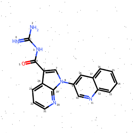 N=C(N)NC(=O)c1cn(-c2cnc3ccccc3c2)c2ncccc12